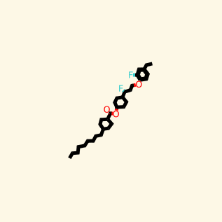 CCCCCCCCCC1CCC(C(=O)OC2CCC(C(F)CCOc3ccc(CC)cc3F)CC2)CC1